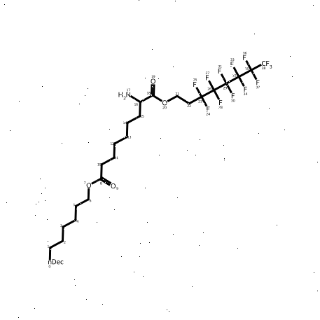 CCCCCCCCCCCCCCCCOC(=O)CCCCCCC(N)C(=O)OCCC(F)(F)C(F)(F)C(F)(F)C(F)(F)C(F)(F)C(F)(F)F